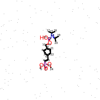 COP(=O)(C=Cc1ccc(COP(O)N(C(C)C)C(C)C)cc1)OC